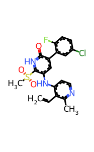 C=Cc1c(Nc2cc(-c3cc(Cl)ccc3F)c(=O)[nH]c2S(C)(=O)=O)ccnc1C